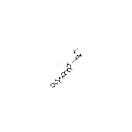 COc1cc2c(Oc3ccc(NC(=O)c4c(C)n(C)n(-c5ccccc5)c4=O)cc3F)ccnc2cc1OCCCN1CC(OC(=O)[C@H](C)N(C)C)C2(CC2)C1